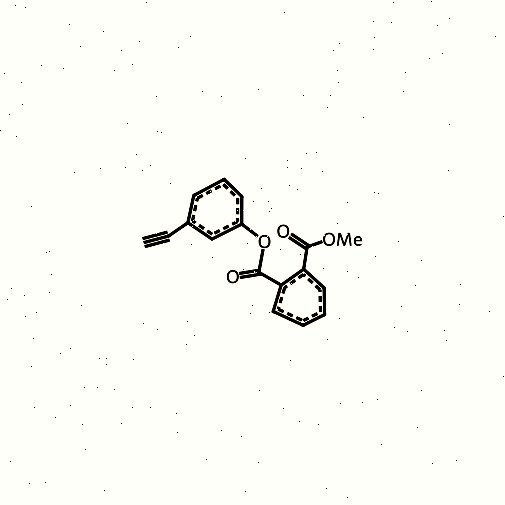 C#Cc1cccc(OC(=O)c2ccccc2C(=O)OC)c1